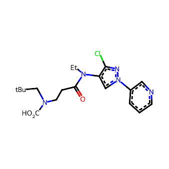 CCN(C(=O)CCN(CC(C)(C)C)C(=O)O)c1cn(-c2cccnc2)nc1Cl